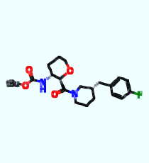 CC(C)(C)OC(=O)N[C@@H]1CCCO[C@H]1C(=O)N1CCC[C@@H](Cc2ccc(F)cc2)C1